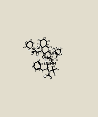 CC(=O)N([C@@H](Cc1ccccc1)C(=O)N[C@@H](Cc1c[nH]cn1)C(=O)N[C@@H](CC1CCCCC1)[C@@H](O)CNS(=O)(=O)N1CCOCC1)C(C)(C)C